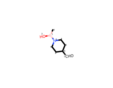 CB(O)N1CCC(C=O)CC1